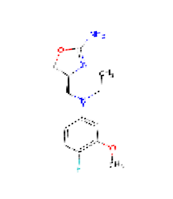 CCN(C[C@H]1COC(N)=N1)c1ccc(F)c(OC)c1